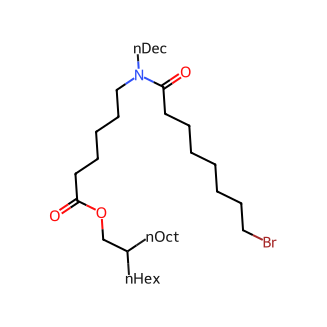 CCCCCCCCCCN(CCCCCC(=O)OCC(CCCCCC)CCCCCCCC)C(=O)CCCCCCCBr